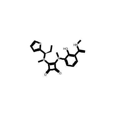 C=C(NC)c1cccc(N(C)c2c(N(C)[C@H](CC)c3cccs3)c(=O)c2=O)c1O